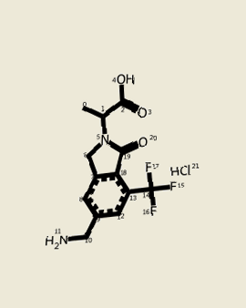 CC(C(=O)O)N1Cc2cc(CN)cc(C(F)(F)F)c2C1=O.Cl